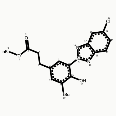 CCCCOC(=O)CCc1cc(-n2nc3ccc(Cl)cc3n2)c(O)c(C(C)(C)C)c1